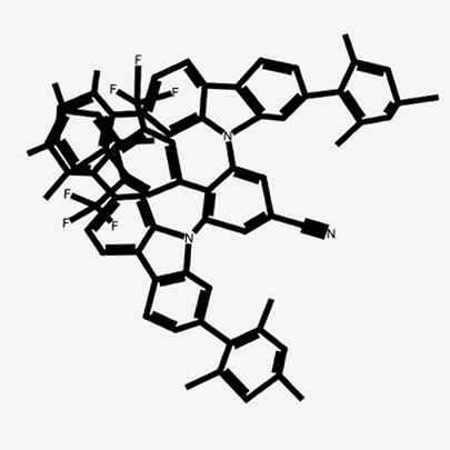 Cc1cc(C)c(-c2ccc3c4ccc(-c5c(C)cc(C)cc5C)cc4n(-c4cc(C#N)cc(-n5c6cc(-c7c(C)cc(C)cc7C)ccc6c6ccc(-c7c(C)cc(C)cc7C)cc65)c4-c4cc(C(F)(F)F)cc(C(F)(F)F)c4)c3c2)c(C)c1